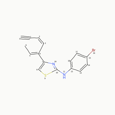 C#C/C=C\C(=C/C)c1csc(Nc2ccc(Br)cc2)n1